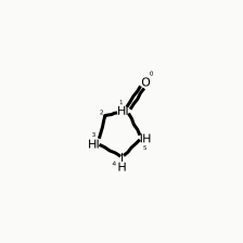 O=[IH]1C[IH][IH][IH]1